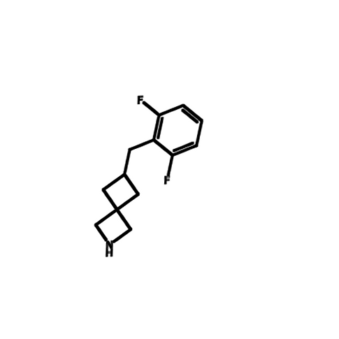 Fc1cccc(F)c1CC1CC2(CNC2)C1